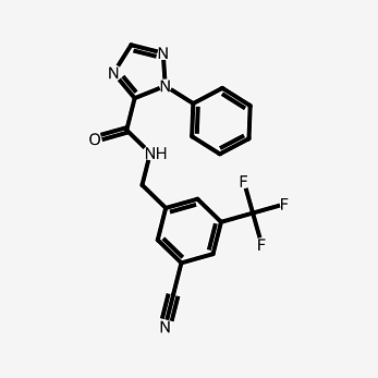 N#Cc1cc(CNC(=O)c2ncnn2-c2ccccc2)cc(C(F)(F)F)c1